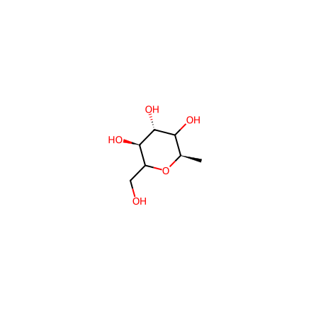 C[C@H]1OC(CO)[C@@H](O)[C@H](O)C1O